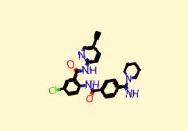 C#Cc1ccc(NC(=O)c2cc(Cl)ccc2NC(=O)c2ccc(C(=N)N3CCCCC3)cc2)nc1